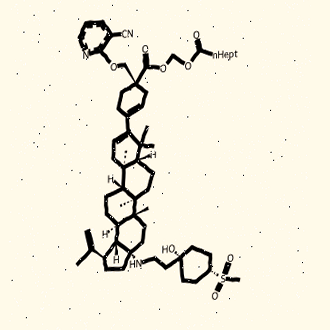 C=C(C)[C@@H]1CC[C@]2(NCC[C@]3(O)CC[C@@H](S(C)(=O)=O)CC3)CC[C@]3(C)[C@H](CC[C@@H]4[C@@]5(C)CC=C(C6=CC[C@@](COc7ncccc7C#N)(C(=O)OCOC(=O)CCCCCCC)CC6)C(C)(C)[C@@H]5CC[C@]43C)[C@@H]12